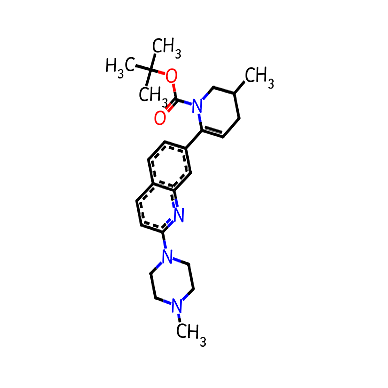 CC1CC=C(c2ccc3ccc(N4CCN(C)CC4)nc3c2)N(C(=O)OC(C)(C)C)C1